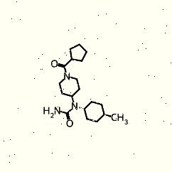 C[C@H]1CC[C@H](N(C(N)=O)C2CCN(C(=O)C3CCCC3)CC2)CC1